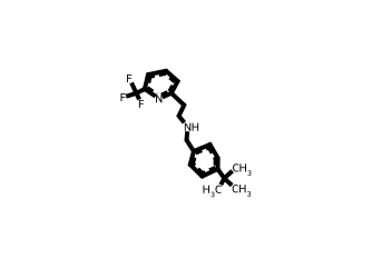 CC(C)(C)c1ccc(CNCCc2cccc(C(F)(F)F)n2)cc1